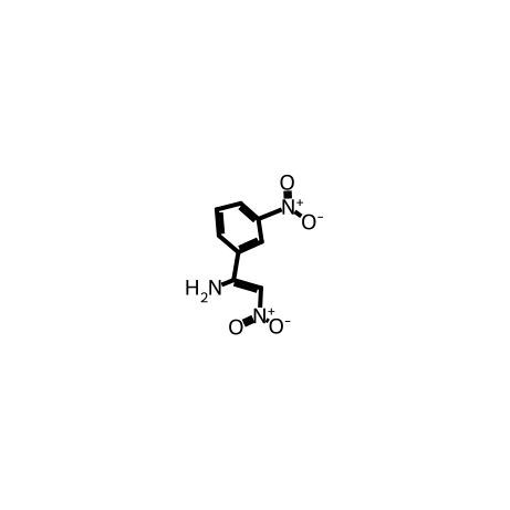 N/C(=C\[N+](=O)[O-])c1cccc([N+](=O)[O-])c1